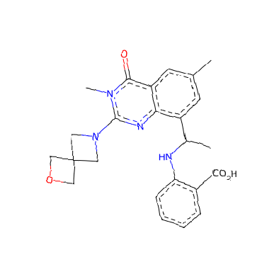 Cc1cc(C(C)Nc2ccccc2C(=O)O)c2nc(N3CC4(COC4)C3)n(C)c(=O)c2c1